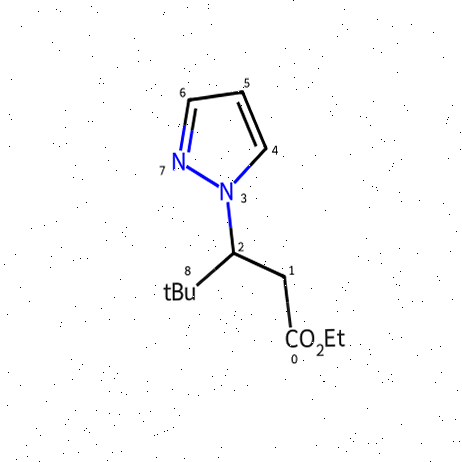 CCOC(=O)CC(n1cccn1)C(C)(C)C